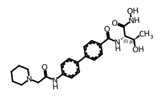 C[C@@H](O)[C@H](NC(=O)c1ccc(-c2ccc(NC(=O)CN3CCCCC3)cc2)cc1)C(=O)NO